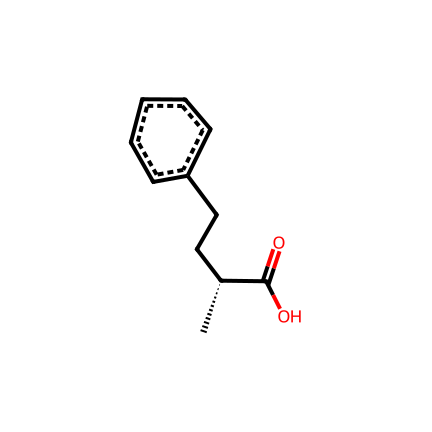 C[C@H](CCc1ccccc1)C(=O)O